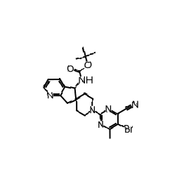 Cc1nc(N2CCC3(CC2)Cc2ncccc2[C@H]3NC(=O)OC(C)(C)C)nc(C#N)c1Br